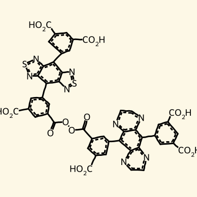 O=C(O)c1cc(C(=O)O)cc(-c2c3c(c(-c4cc(C(=O)O)cc(C(=O)OOC(=O)c5cc(C(=O)O)cc(-c6c7nccnc7c(-c7cc(C(=O)O)cc(C(=O)O)c7)c7nccnc67)c5)c4)c4nsnc24)N=S=N3)c1